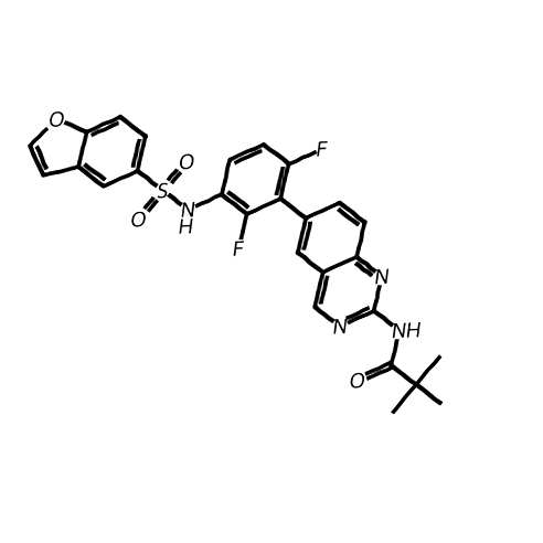 CC(C)(C)C(=O)Nc1ncc2cc(-c3c(F)ccc(NS(=O)(=O)c4ccc5occc5c4)c3F)ccc2n1